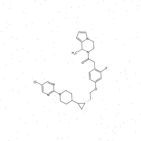 CC1c2cccn2CCN1C(=O)Cc1ccc(OCC[C@@H]2CC2C2CCN(c3ncc(Cl)cn3)CC2)cc1F